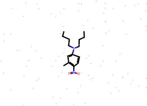 CCCCN(CCCC)c1ccc([N+](=O)[O-])c(C)c1